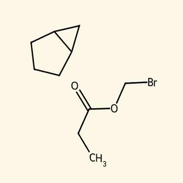 C1CC2CC2C1.CCC(=O)OCBr